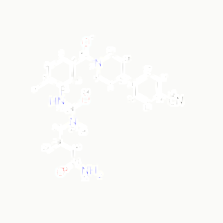 Cc1ccc(C(=O)N2CCC(c3ccc(C#N)cc3)CC2)cc1NC(=O)N(C)CC(C)CC(N)=O